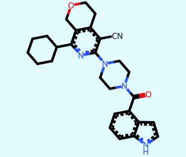 N#Cc1c(N2CCN(C(=O)c3cccc4[nH]ccc34)CC2)nc(C2CCCCC2)c2c1CCOC2